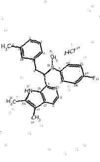 Cc1cccc(CC(c2nccc3c(C)c(C)[nH]c23)N(C)c2ccc(F)cc2)c1.Cl